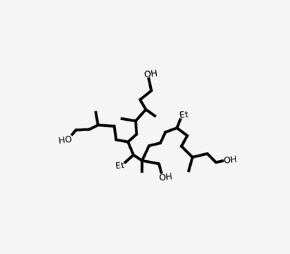 CCC(CCCC(C)(CO)C(CC)C(CCC(C)CCO)CC(C)C(C)CCO)CCC(C)CCO